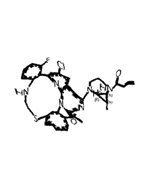 C=CC(=O)N1CCN(c2nc(=O)n3c4nc(c(Cl)cc24)-c2c(F)cccc2NCCSc2cccc(C(C)C)c2-3)[C@@H]2[C@H](C)[C@@H]21